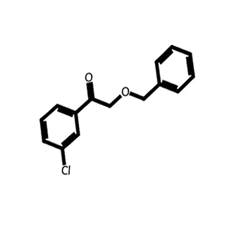 O=C(COCc1ccccc1)c1cccc(Cl)c1